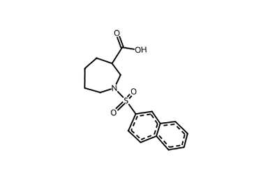 O=C(O)C1CCCCN(S(=O)(=O)c2ccc3ccccc3c2)C1